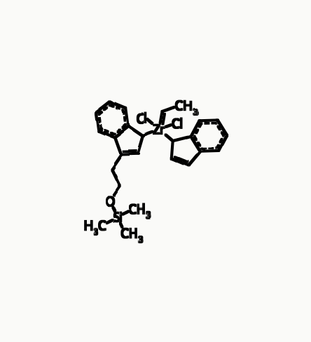 C[CH]=[Zr]([Cl])([Cl])([CH]1C=Cc2ccccc21)[CH]1C=C(CCO[Si](C)(C)C)c2ccccc21